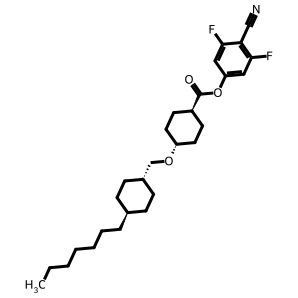 CCCCCCC[C@H]1CC[C@H](CO[C@H]2CC[C@H](C(=O)Oc3cc(F)c(C#N)c(F)c3)CC2)CC1